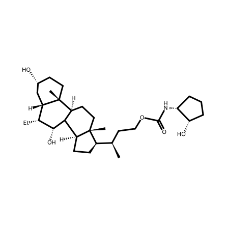 CC[C@H]1[C@@H](O)C2[C@@H]3CC[C@H]([C@H](C)CCOC(=O)N[C@@H]4CCC[C@@H]4O)[C@@]3(C)CC[C@@H]2[C@@]2(C)CC[C@@H](O)C[C@@H]12